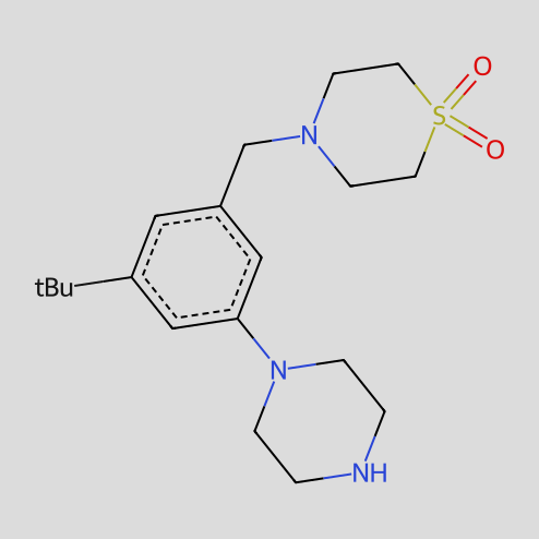 CC(C)(C)c1cc(CN2CCS(=O)(=O)CC2)cc(N2CCNCC2)c1